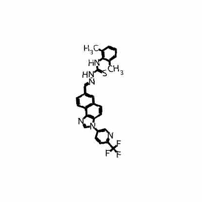 Cc1cccc(C)c1NC(=S)NN=Cc1ccc2c(ccc3c2ncn3-c2ccc(C(F)(F)F)nc2)c1